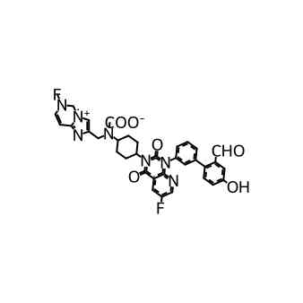 O=Cc1cc(O)ccc1-c1cccc(-n2c(=O)n(C3CCC(N(CC4=C[N+]5CN(F)C=CC5=N4)C(=O)[O-])CC3)c(=O)c3cc(F)cnc32)c1